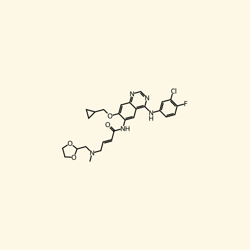 CN(CC=CC(=O)Nc1cc2c(Nc3ccc(F)c(Cl)c3)ncnc2cc1OCC1CC1)CC1OCCO1